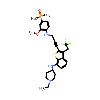 CCN1CCC(Nc2cccc3c(CC(F)(F)F)c(C#CCNc4ccc(P(C)(C)=O)cc4OC)sc23)CC1